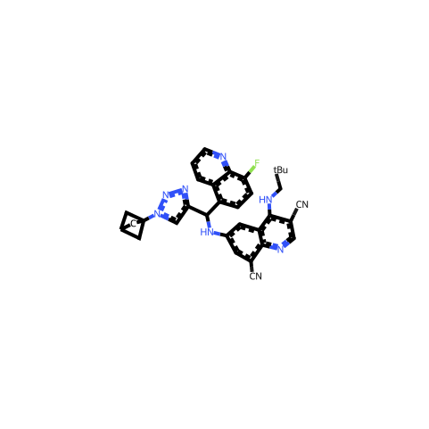 CC(C)(C)CNc1c(C#N)cnc2c(C#N)cc(NC(c3cn(C45CC(C4)C5)nn3)c3ccc(F)c4ncccc34)cc12